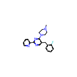 CN1CCN(c2nc(-c3ccccn3)ncc2Cc2ccccc2F)CC1